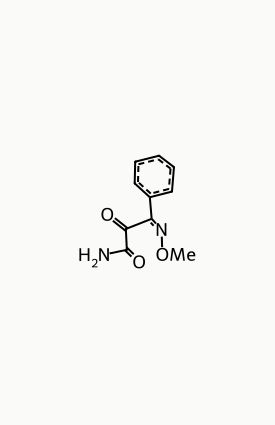 CON=C(C(=O)C(N)=O)c1ccccc1